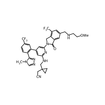 COCCNCc1cc2c(c(C(F)(F)F)c1)CN(c1cc(-c3cc(C(F)(F)F)ccc3-c3nncn3C)cc(NCC3(CC#N)CC3)n1)C2=O